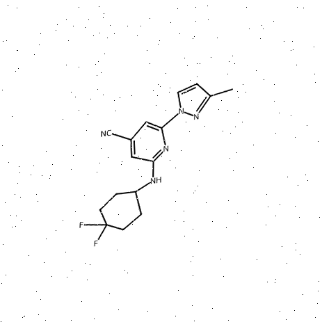 Cc1ccn(-c2cc(C#N)cc(NC3CCC(F)(F)CC3)n2)n1